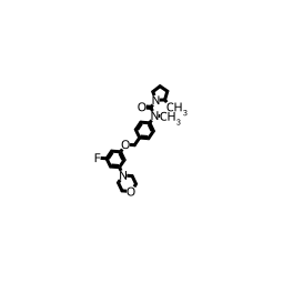 CC1CCCN1C(=O)N(C)c1ccc(COc2cc(F)cc(N3CCOCC3)c2)cc1